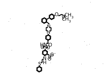 CN(C)CCOc1ccc(-c2ccccc2CN2CCN(c3ccc(C(=O)NS(=O)(=O)c4ccc(NCCSc5ccccc5)c([N+](=O)[O-])c4)cc3)CC2)cc1